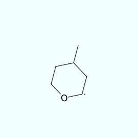 CC1C[CH]OCC1